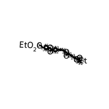 CCOC(=O)/C=C/c1ccc(OC(=O)c2ccc(C#CCCOC(=O)CCCCCOC(=O)C(C)(C)CC)cc2)cc1